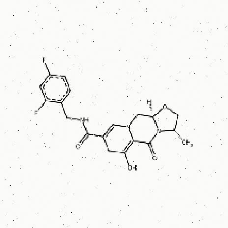 C[C@H]1CO[C@@H]2CN3C=C(C(=O)NCc4ccc(F)cc4F)CC(O)=C3C(=O)N12